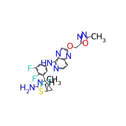 Cc1nnc(COc2cnc3c(Nc4cc(F)c(F)c([C@]5(C)N=C(N)S[C@@]6(C(F)F)C[C@@H]56)c4)nccc3n2)o1